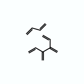 C=CC(=C)C(=C)C=C.C=CC=C